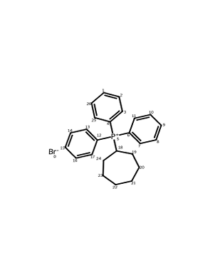 [Br-].c1ccc([P+](c2ccccc2)(c2ccccc2)C2CCCCCC2)cc1